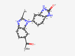 COC(=O)c1ccc2nc(C(C)C)n(-c3ccc4[nH]c(=O)[nH]c4c3)c2c1